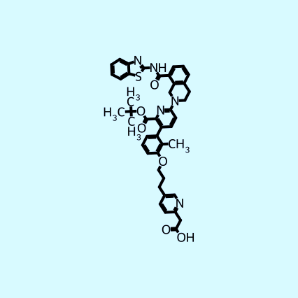 Cc1c(OCCCc2ccc(CC(=O)O)nc2)cccc1-c1ccc(N2CCc3cccc(C(=O)Nc4nc5ccccc5s4)c3C2)nc1C(=O)OC(C)(C)C